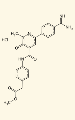 COC(=O)Cc1ccc(NC(=O)c2cc(-c3ccc(C(=N)N)cc3)nn(C)c2=O)cc1.Cl